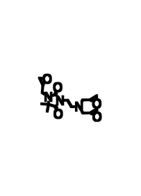 CC1(C)C(=O)N(CCN(CC2CO2)CC2CO2)C(=O)N1CC1CO1